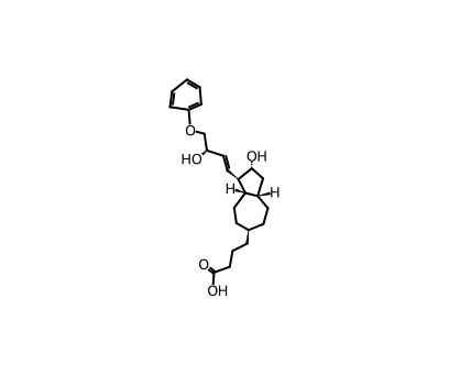 O=C(O)CCC[C@@H]1CC[C@H]2C[C@@H](O)[C@H](/C=C/[C@@H](O)COc3ccccc3)[C@H]2CC1